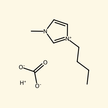 CCCC[n+]1ccn(C)c1.O=C([O-])[O-].[H+]